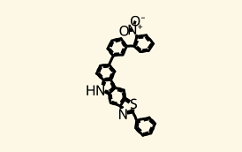 O=[N+]([O-])c1ccccc1-c1cccc(-c2ccc3[nH]c4cc5nc(-c6ccccc6)sc5cc4c3c2)c1